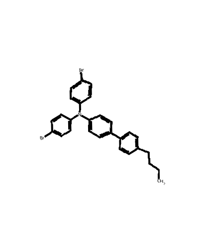 CCCCc1ccc(-c2ccc(N(c3ccc(Br)cc3)c3ccc(Br)cc3)cc2)cc1